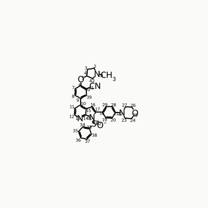 CN1CCC(Oc2ccc(-c3ccnc4c3cc(-c3ccc(N5CCOCC5)cc3)n4[S+]([O-])c3ccccc3)cc2C#N)C1